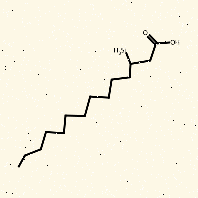 CCCCCCCCCCCC([SiH3])CC(=O)O